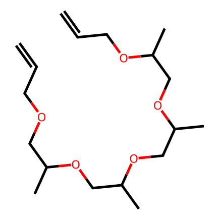 C=CCOCC(C)OCC(C)OCC(C)OCC(C)OCC=C